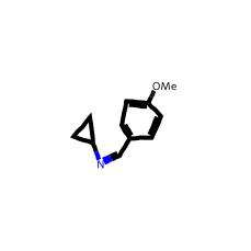 COc1ccc(/C=N\C2CC2)cc1